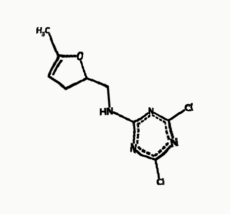 CC1=CCC(CNc2nc(Cl)nc(Cl)n2)O1